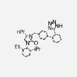 CCCc1cn(-c2c(CC)cccc2C(C)C)c(=O)n1Cc1ccc(-c2ccccc2-c2nnn[nH]2)cc1